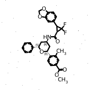 COC(=O)c1ccc([C@H]2C[C@H](NC(=O)C3C(c4ccc5c(c4)OCO5)C3(F)F)C[C@@H](c3ccccc3)O2)c(C)c1